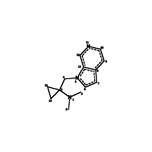 CN(C)C1(Cn2ccc3ccncc32)CC1